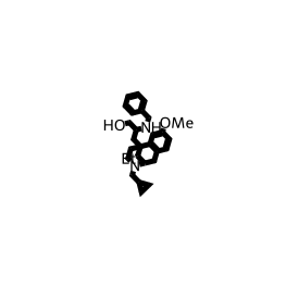 CCC1C2Cc3ccc(OC)cc3C1(CC(CO)NCc1ccccc1)CCN2CC1CC1